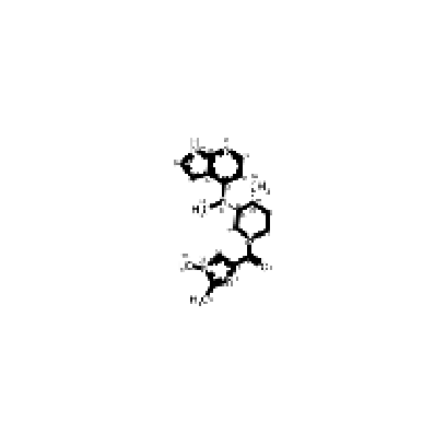 Cc1nc(C(=O)N2CC[C@@H](C)[C@@H](N(C)c3ccnc4[nH]ccc34)C2)cn1C